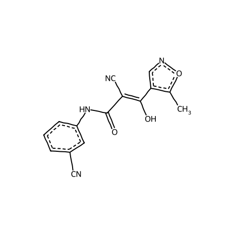 Cc1oncc1/C(O)=C(\C#N)C(=O)Nc1cccc(C#N)c1